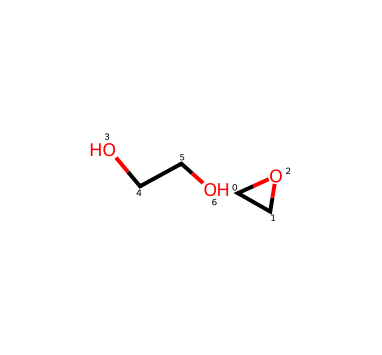 C1CO1.OCCO